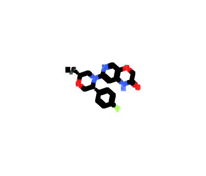 C[C@@H]1CN(c2cc3c(cn2)OCC(=O)N3)[C@H](c2ccc(F)cc2)CO1